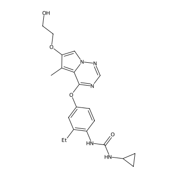 CCc1cc(Oc2ncnn3cc(OCCO)c(C)c23)ccc1NC(=O)NC1CC1